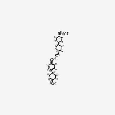 CCCCCC1CCC(C2CCC(C=CCOc3ccc(C4CCC(CCC)CC4)cc3)CC2)CC1